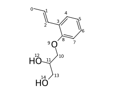 CC=Cc1ccccc1OCC(O)CO